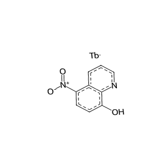 O=[N+]([O-])c1ccc(O)c2ncccc12.[Tb]